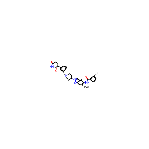 COc1cc2nn(C3CCN(Cc4cccc(C5CCC(=O)NC5=O)c4)CC3)cc2cc1NC(=O)c1cccc(C(F)(F)F)c1